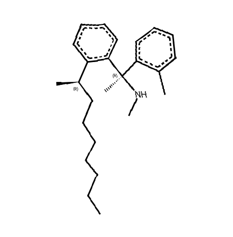 CCCCCCC[C@@H](C)c1ccccc1[C@](C)(NC)c1ccccc1C